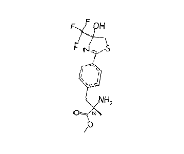 COC(=O)[C@@](C)(N)Cc1ccc(C2=NC(O)(C(F)(F)F)CS2)cc1